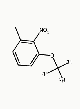 [2H]C([2H])([2H])Oc1cccc(C)c1[N+](=O)[O-]